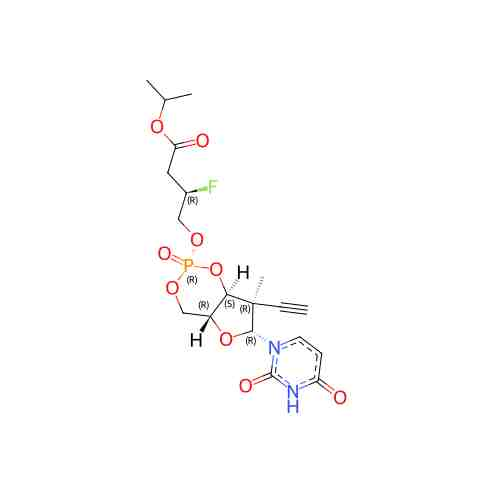 C#C[C@]1(C)[C@@H]2O[P@@](=O)(OC[C@H](F)CC(=O)OC(C)C)OC[C@H]2O[C@H]1n1ccc(=O)[nH]c1=O